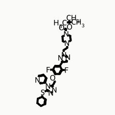 CC(C)(C)OC(=O)N1CCN(CCn2ncc(-c3cc(F)c(OCc4nnc(SC5C=CCCC5)n4-c4cccnc4)cc3F)n2)CC1